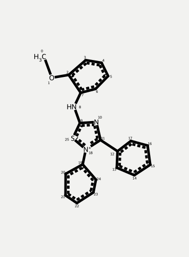 COc1ccccc1Nc1nc(-c2ccccc2)[n+](-c2ccccc2)s1